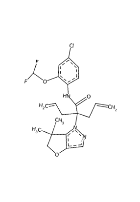 C=CCC(CC=C)(C(=O)Nc1ccc(Cl)cc1OC(F)F)n1ncc2c1C(C)(C)CO2